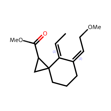 C/C=C1\C(=C/COC)CCCC12CC2C(=O)OC